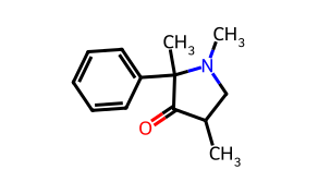 CC1CN(C)C(C)(c2ccccc2)C1=O